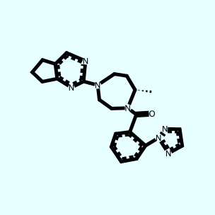 C[C@H]1CCN(c2ncc3c(n2)CCC3)CCN1C(=O)c1ccccc1-n1nccn1